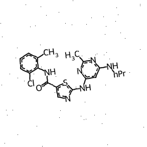 CCCNc1cc(Nc2ncc(C(=O)Nc3c(C)cccc3Cl)s2)nc(C)n1